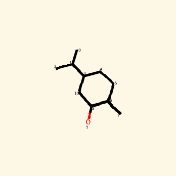 CC(C)C1CCC(C)C([O])C1